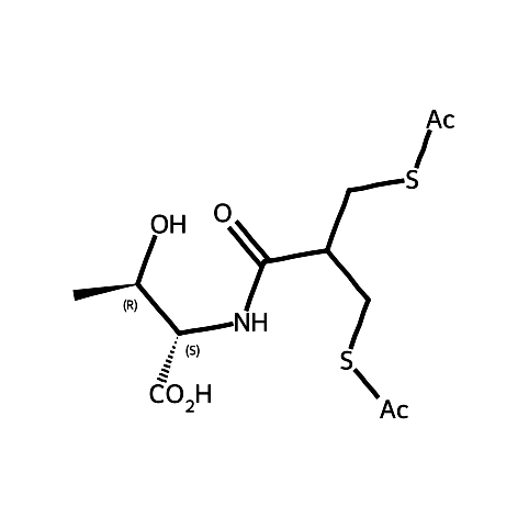 CC(=O)SCC(CSC(C)=O)C(=O)N[C@H](C(=O)O)[C@@H](C)O